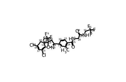 Cc1cc(C2=NO[C@](C(F)(F)F)(C3(C)C=C(Cl)C=C(Cl)C3)C2)ccc1C(=O)NCC(=O)NCC(F)(F)F